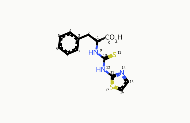 O=C(O)C(Cc1ccccc1)NC(=S)Nc1nccs1